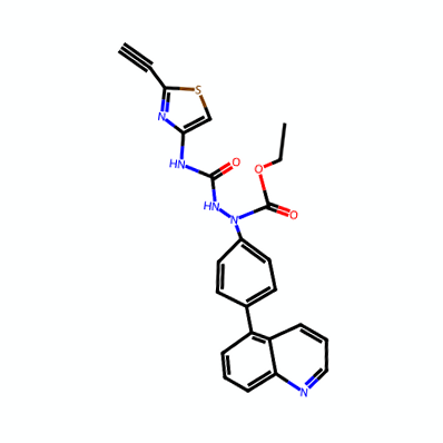 C#Cc1nc(NC(=O)NN(C(=O)OCC)c2ccc(-c3cccc4ncccc34)cc2)cs1